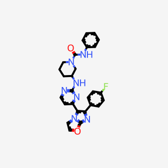 O=C(Nc1ccccc1)N1CCCC(Nc2nccc(-c3c(-c4ccc(F)cc4)nc4occn34)n2)C1